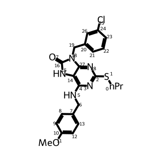 CCCSc1nc(NCc2ccc(OC)cc2)c2[nH]c(=O)n(Cc3cccc(Cl)c3)c2n1